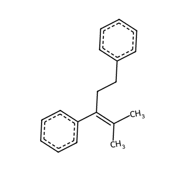 CC(C)=C(CCc1ccccc1)c1ccccc1